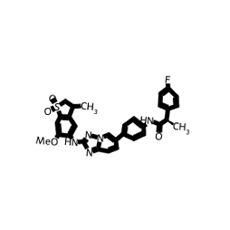 COc1cc2c(cc1Nc1nc3ccc(-c4ccc(NC(=O)[C@H](C)c5ccc(F)cc5)cc4)cn3n1)C(C)CS2(=O)=O